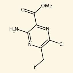 COC(=O)c1nc(Cl)c(CI)nc1N